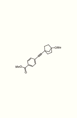 COC(=O)c1ccc(C#CC23CCC(OC)(CC2)C3)cc1